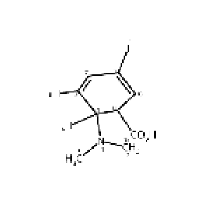 CN(C)C1(I)C(I)=CC(I)=CC1C(=O)O